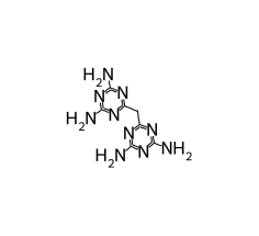 Nc1nc(N)nc(Cc2nc(N)nc(N)n2)n1